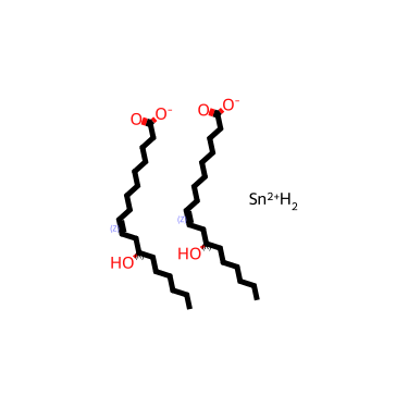 CCCCCC[C@@H](O)C/C=C\CCCCCCCC(=O)[O-].CCCCCC[C@@H](O)C/C=C\CCCCCCCC(=O)[O-].[SnH2+2]